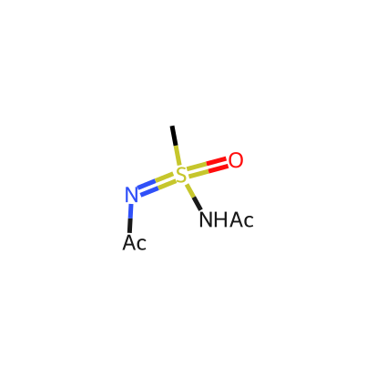 CC(=O)N=S(C)(=O)NC(C)=O